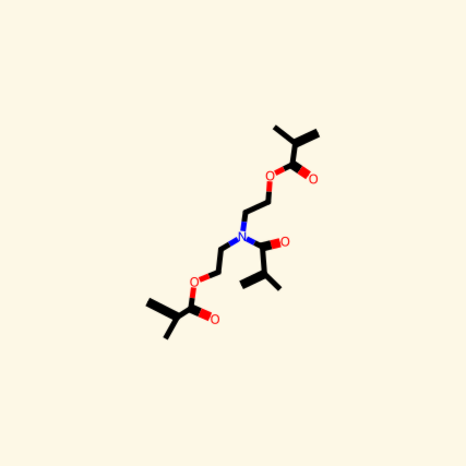 C=C(C)C(=O)OCCN(CCOC(=O)C(=C)C)C(=O)C(=C)C